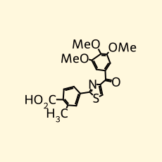 COc1cc(C(=O)c2csc(-c3ccc(C(=O)O)c(C)c3)n2)cc(OC)c1OC